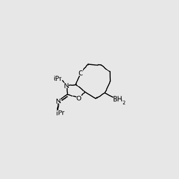 BC1CCCCCC2C(C1)O/C(=N\C(C)C)N2C(C)C